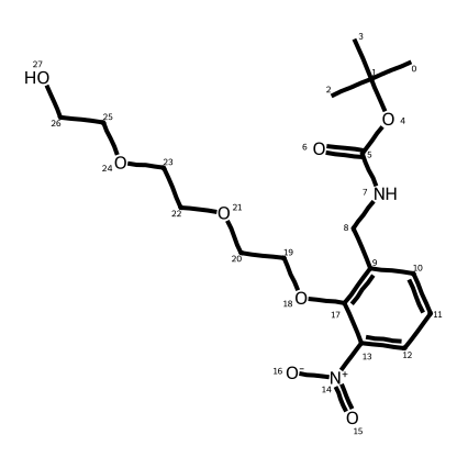 CC(C)(C)OC(=O)NCc1cccc([N+](=O)[O-])c1OCCOCCOCCO